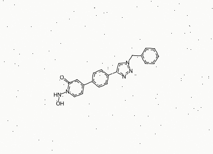 O=c1cc(-c2ccc(-c3cn(Cc4ccccc4)nn3)cc2)ccn1NO